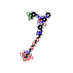 O=C(Nc1ccc(N2CCCCC2)cc1C(=O)N/N=C/c1ccc(Cl)c(C(F)(F)F)c1)c1cccc(Cn2cc(CCOCCOCCOCCNC(=O)C(O)C(O)C(=O)O)nn2)c1